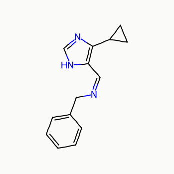 C(=N/Cc1ccccc1)/c1[nH]cnc1C1CC1